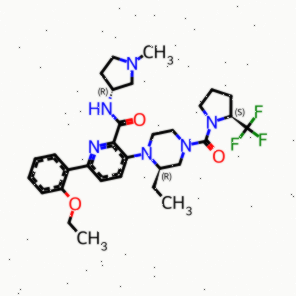 CCOc1ccccc1-c1ccc(N2CCN(C(=O)N3CCC[C@H]3C(F)(F)F)C[C@H]2CC)c(C(=O)N[C@@H]2CCN(C)C2)n1